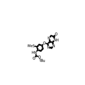 CSc1cc(Oc2ncnc3[nH]c(=O)cnc23)ccc1NC(=O)OC(C)(C)C